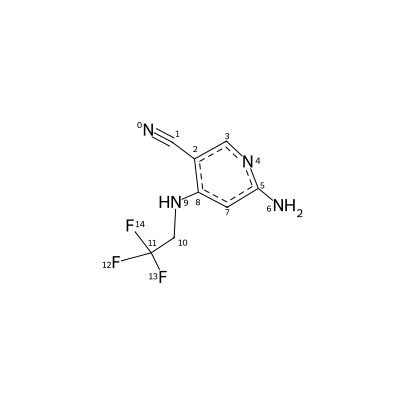 N#Cc1cnc(N)cc1NCC(F)(F)F